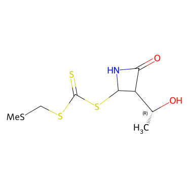 CSCSC(=S)SC1NC(=O)C1[C@@H](C)O